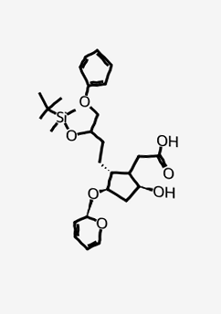 CC(C)(C)[Si](C)(C)OC(CC[C@@H]1C(CC(=O)O)[C@@H](O)C[C@H]1O[C@@H]1C=CC=CO1)COc1ccccc1